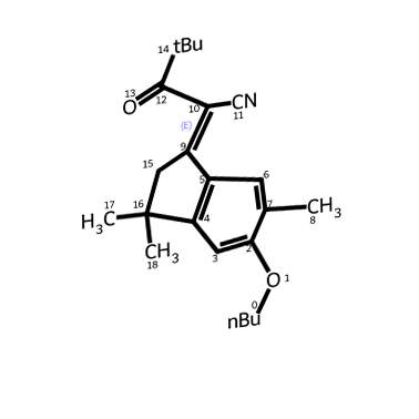 CCCCOc1cc2c(cc1C)/C(=C(\C#N)C(=O)C(C)(C)C)CC2(C)C